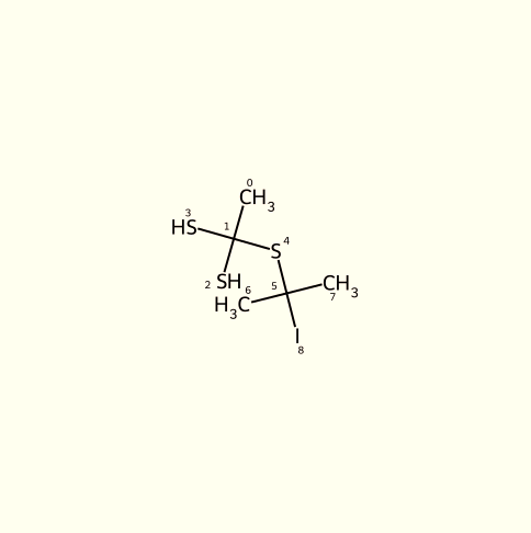 CC(S)(S)SC(C)(C)I